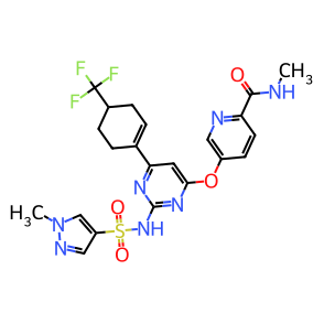 CNC(=O)c1ccc(Oc2cc(C3=CCC(C(F)(F)F)CC3)nc(NS(=O)(=O)c3cnn(C)c3)n2)cn1